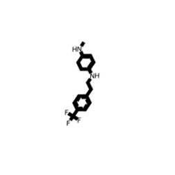 CNC1=CC=C(NCCc2ccc(C(F)(F)F)cc2)CC1